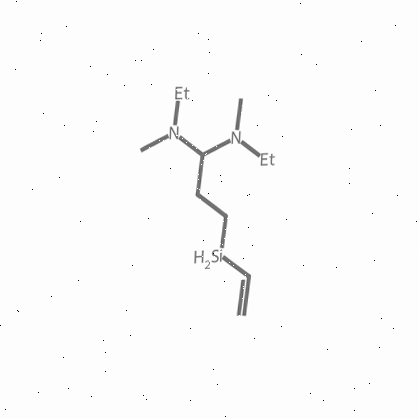 C=C[SiH2]CCC(N(C)CC)N(C)CC